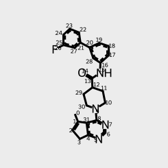 CC1=CCc2ncnc(N3CCC(C(=O)Nc4cccc(-c5cccc(F)c5)c4)CC3)c21